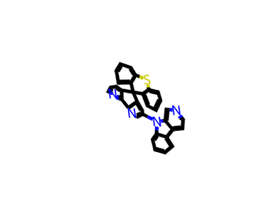 c1ccc2c(c1)Sc1ccccc1C21c2cccnc2-c2ncc(-n3c4ccccc4c4ccncc43)cc21